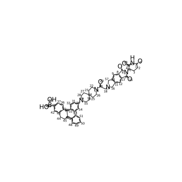 O=C1CC[C@@H](N2C(=O)c3cc4c(cc3C2=O)CN(CC(=O)N2CCC3(CC2)CCN(c2ccc([C@@H]5c6ccc(B(O)O)cc6CC[C@@H]5c5ccccc5)cc2)CC3)C4)C(=O)N1